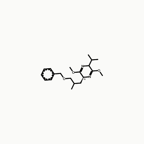 COC1=N[C@@H](CC(C)COCc2ccccc2)C(OC)=NC1C(C)C